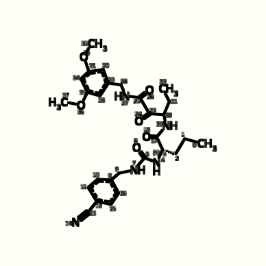 CCC[C@H](NC(=O)NCc1ccc(C#N)cc1)C(=O)NC(CC)C(=O)C(=O)NCc1cc(OC)cc(OC)c1